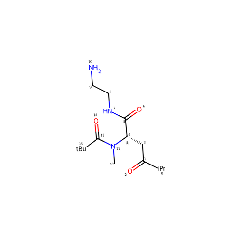 CC(C)C(=O)C[C@@H](C(=O)NCCN)N(C)C(=O)C(C)(C)C